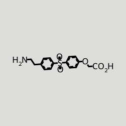 NCCc1ccc(S(=O)(=O)c2ccc(OCC(=O)O)cc2)cc1